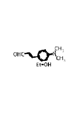 CCO.CN(C)c1ccc(C=CC=O)cc1